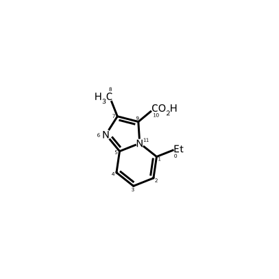 CCc1cccc2nc(C)c(C(=O)O)n12